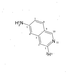 [2H]c1cc2cc(N)ccc2cn1